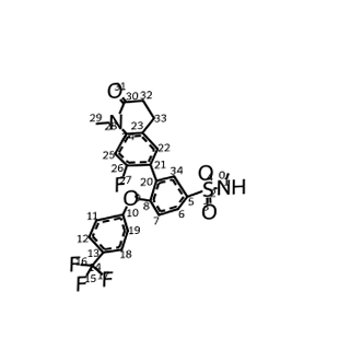 CNS(=O)(=O)c1ccc(Oc2ccc(C(F)(F)F)cc2)c(-c2cc3c(cc2F)N(C)C(=O)CC3)c1